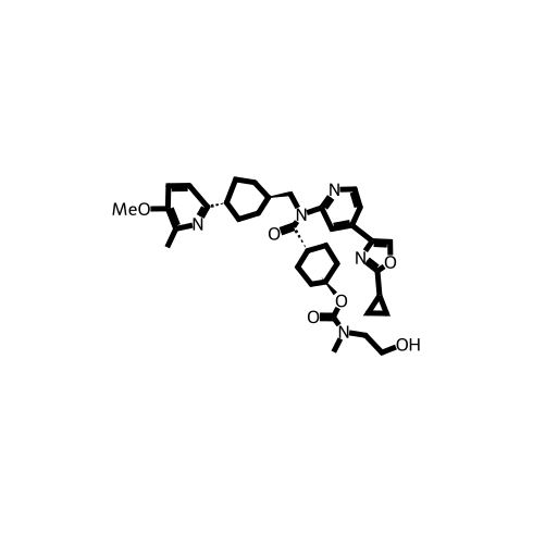 COc1ccc([C@H]2CC[C@H](CN(c3cc(-c4coc(C5CC5)n4)ccn3)C(=O)[C@H]3CC[C@H](OC(=O)N(C)CCO)CC3)CC2)nc1C